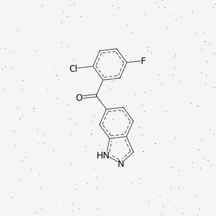 O=C(c1ccc2cn[nH]c2c1)c1cc(F)ccc1Cl